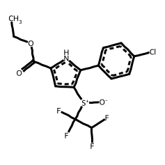 CCOC(=O)c1cc([S+]([O-])C(F)(F)C(F)F)c(-c2ccc(Cl)cc2)[nH]1